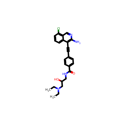 CCN(CC)CC(O)CNC(=O)c1ccc(C#Cc2c(N)ncc3c(Cl)cccc23)cc1